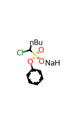 CCCCC(Cl)S(=O)(=O)Oc1ccccc1.[NaH]